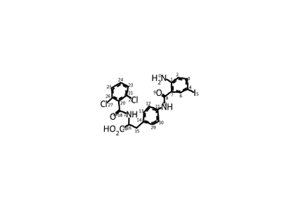 Nc1ccc(I)cc1C(=O)Nc1ccc(CC(NC(=O)c2c(Cl)cccc2Cl)C(=O)O)cc1